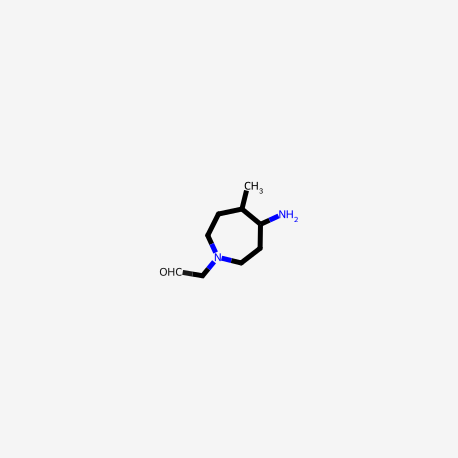 CC1CCN(CC=O)CCC1N